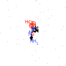 NC1CC(c2nnc([C@@H]3CC4(CC4)[C@@H]4CN3C(=O)N4OS(=O)(=O)O)o2)C1